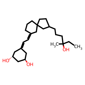 CCC(C)(O)CCCC1CCC2(CCC/C(=C\C=C3C[C@@H](O)C[C@H](O)C3)C2)C1